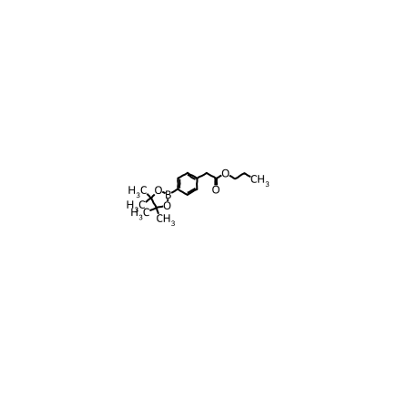 CCCOC(=O)Cc1ccc(B2OC(C)(C)C(C)(C)O2)cc1